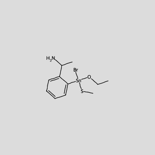 CC[O][Sn]([Br])([S]C)[c]1ccccc1C(C)N